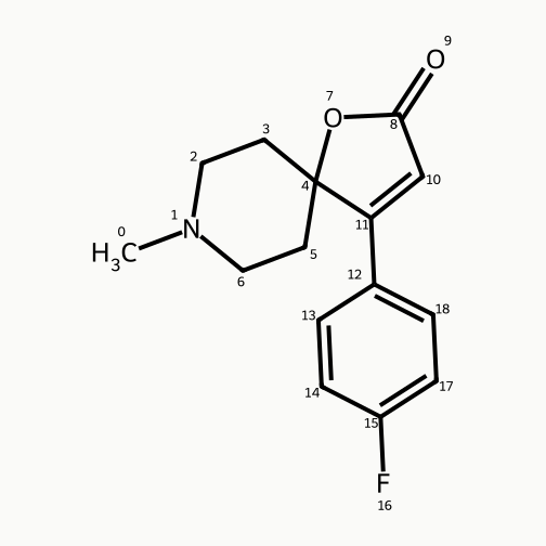 CN1CCC2(CC1)OC(=O)C=C2c1ccc(F)cc1